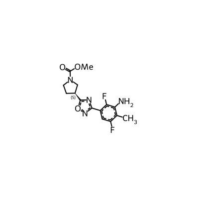 COC(=O)N1CC[C@H](c2nc(-c3cc(F)c(C)c(N)c3F)no2)C1